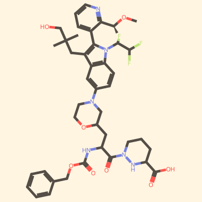 CO[C@@H](C)c1ncccc1-c1c(CC(C)(C)CO)c2cc(N3CCOC(CC(NC(=O)OCc4ccccc4)C(=O)N4CCCC(C(=O)O)N4)C3)ccc2n1C(F)C(F)F